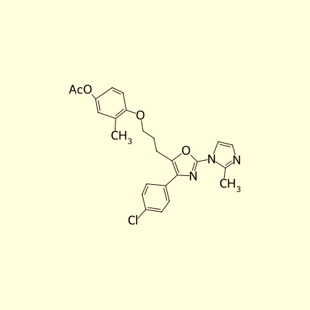 CC(=O)Oc1ccc(OCCCc2oc(-n3ccnc3C)nc2-c2ccc(Cl)cc2)c(C)c1